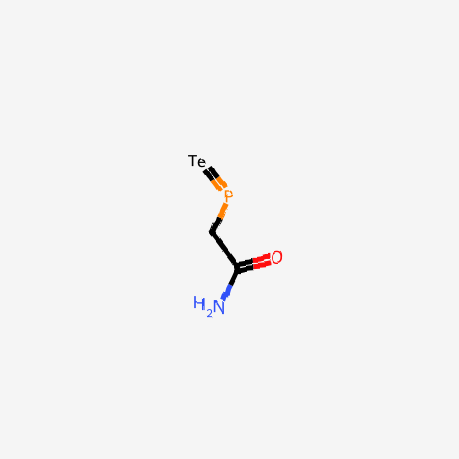 NC(=O)CP=[Te]